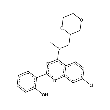 CN(CC1COCCO1)c1nc(-c2ccccc2O)nc2cc(Cl)ccc12